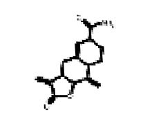 C=C1C(=O)OC2C(=C)C3CCC(C(N)=O)C=C3CC12